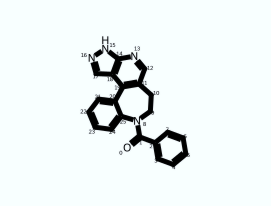 O=C(c1ccccc1)N1CCc2cnc3[nH]ncc3c2-c2ccccc21